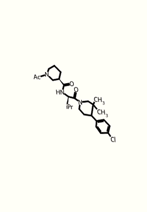 CC(=O)N1CCC[C@@H](C(=O)N[C@@H](C(=O)N2CCC(c3ccc(Cl)cc3)C(C)(C)C2)C(C)C)C1